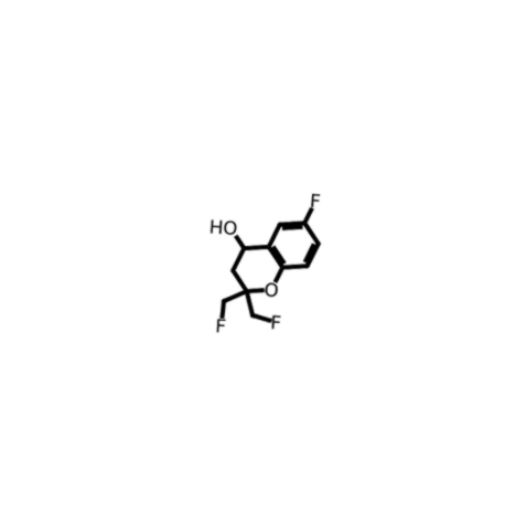 OC1CC(CF)(CF)Oc2ccc(F)cc21